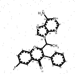 CC(c1oc2ccc(F)cc2c(=O)c1-c1ccccc1)n1cnc2c(N)ncnc21